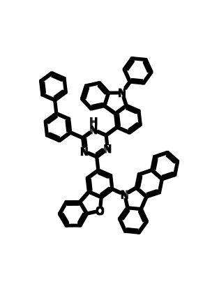 c1ccc(-c2cccc(C3=NC(c4cc(-n5c6ccccc6c6cc7ccccc7cc65)c5oc6ccccc6c5c4)=NC(c4cccc5c4c4ccccc4n5-c4ccccc4)N3)c2)cc1